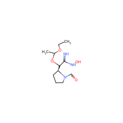 CCOC(C)OC(C(=N)NO)[C@@H]1CCCN1[C]=O